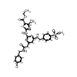 CCOC(=O)c1sc(Nc2nc(CC(=O)NCc3ccc(Cl)cc3)cc(NCc3ccc(S(N)(=O)=O)cc3)n2)nc1C